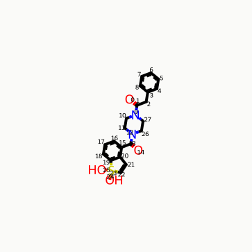 O=C(Cc1ccccc1)N1CCN(C(=O)c2cccc3c2C=CS3(O)O)CC1